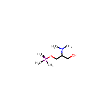 C=P(C)(C)OCC(CO)N(C)C